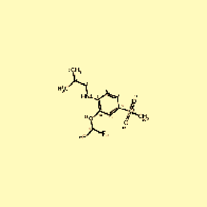 CC(C)CNc1ccc(S(C)(=O)=O)cc1OC(F)F